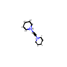 C(#CN1CCCCC1)N1CCCCC1